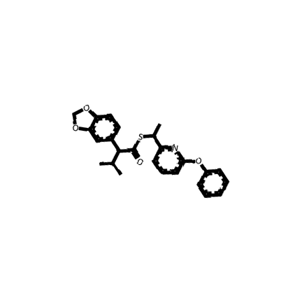 CC(SC(=O)C(c1ccc2c(c1)OCO2)C(C)C)c1cccc(Oc2ccccc2)n1